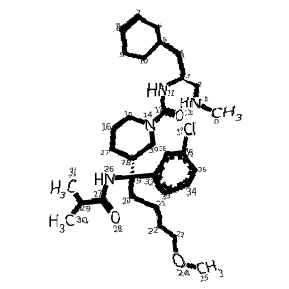 CNC[C@H](CC1CCCCC1)NC(=O)N1CCC[C@@H](C(CCCCOC)(NC(=O)C(C)C)c2cccc(Cl)c2)C1